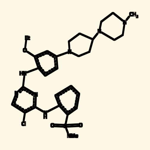 CCOc1cc(N2CCC(N3CCN(C)CC3)CC2)ccc1Nc1ncc(Cl)c(Nc2ccccc2S(=O)(=O)NC)n1